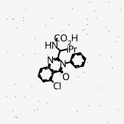 CC(C)C(NC(=O)O)c1nc2cccc(Cl)c2c(=O)n1-c1ccccc1